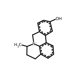 CC1CCc2cccc3c2N1Cc1ccc(O)cc1-3